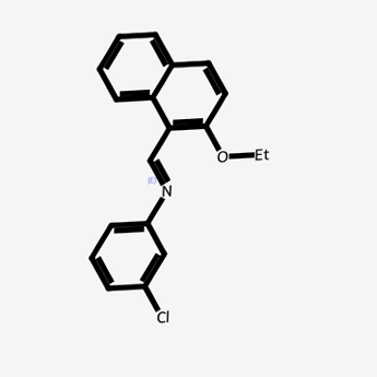 CCOc1ccc2ccccc2c1/C=N/c1cccc(Cl)c1